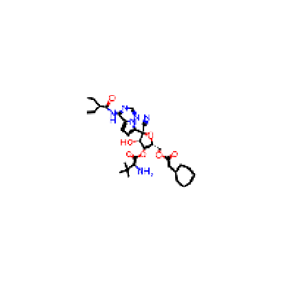 CCC(CC)C(=O)Nc1ncnn2c([C@]3(C#N)O[C@H](COC(=O)CC4CCCCCC4)[C@@H](OC(=O)[C@@H](N)C(C)(C)C)[C@H]3O)ccc12